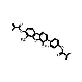 C=C(C)C(=O)Oc1ccc(-c2ccc3c(oc4c(C(F)(F)F)c(OC(=O)C(=C)C)ccc43)c2OC)cc1